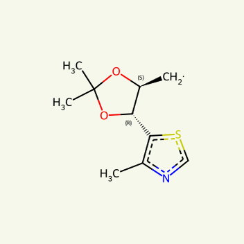 [CH2][C@@H]1OC(C)(C)O[C@H]1c1scnc1C